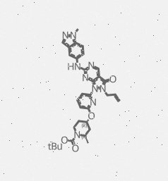 C=CCn1c(=O)c2cnc(Nc3ccc4c(cnn4C)c3)nc2n1-c1cccc(O[C@@H]2CCN(C(=O)OC(C)(C)C)[C@H](C)C2)n1